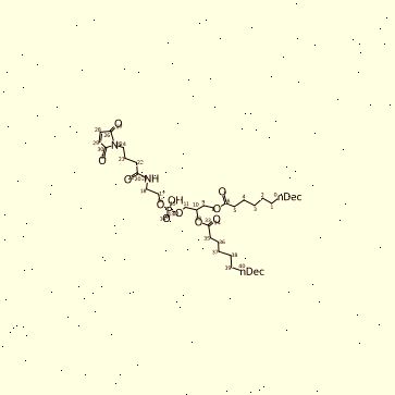 CCCCCCCCCCCCCCCC(=O)OCC(COP(=O)(O)OCCNC(=O)CCCN1C(=O)C=CC1=O)OC(=O)CCCCCCCCCCCCCCC